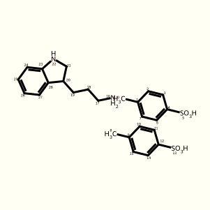 Cc1ccc(S(=O)(=O)O)cc1.Cc1ccc(S(=O)(=O)O)cc1.NCCCC1CNc2ccccc21